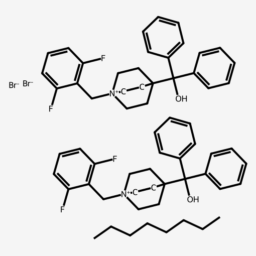 CCCCCCCC.OC(c1ccccc1)(c1ccccc1)C12CC[N+](Cc3c(F)cccc3F)(CC1)CC2.OC(c1ccccc1)(c1ccccc1)C12CC[N+](Cc3c(F)cccc3F)(CC1)CC2.[Br-].[Br-]